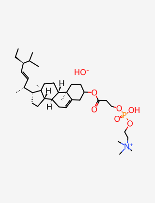 CC[C@H](/C=C/[C@@H](C)[C@H]1CC[C@H]2[C@@H]3CC=C4CC(OC(=O)CCOP(=O)(O)OCC[N+](C)(C)C)CC[C@]4(C)[C@H]3CC[C@]12C)C(C)C.[OH-]